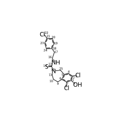 Oc1c(Cl)cc2c(c1Cl)CCCN(C(=S)NCCc1ccc(Cl)cc1)C2